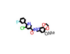 COc1cc(CNC(=O)c2cnc(-c3cccc(F)c3)c(Cl)c2)cc2c1OCCO2